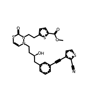 COC(=O)c1ccc(CCN2C(=O)SC=CN2CC[C@@H](O)Cc2cccc(C#Cc3ccsc3C#N)c2)s1